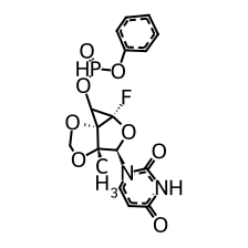 C[C@@]12OCO[C@@]13C(O[PH](=O)Oc1ccccc1)[C@@]3(F)O[C@H]2n1ccc(=O)[nH]c1=O